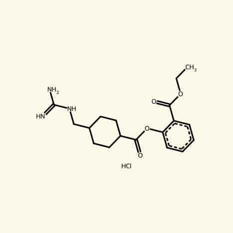 CCOC(=O)c1ccccc1OC(=O)C1CCC(CNC(=N)N)CC1.Cl